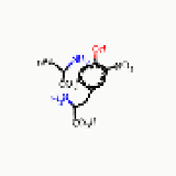 CCCCC(N)C(=O)O.NC(Cc1ccc(O)c([N+](=O)[O-])c1)C(=O)O